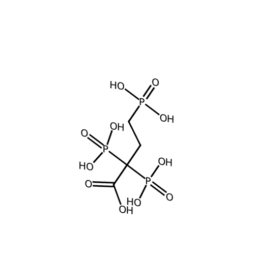 O=C(O)C(CCP(=O)(O)O)(P(=O)(O)O)P(=O)(O)O